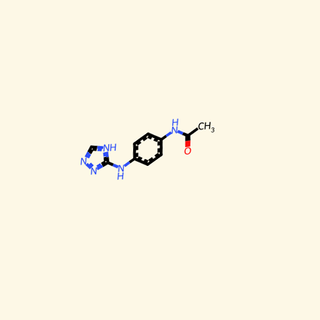 CC(=O)Nc1ccc(Nc2nnc[nH]2)cc1